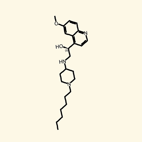 CCCCCCCN1CCC(NC[C@@H](O)c2ccnc3ccc(OC)cc23)CC1